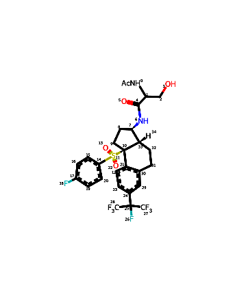 CC(=O)NC(CO)C(=O)N[C@@H]1CC[C@@]2(S(=O)(=O)c3ccc(F)cc3)c3ccc(C(F)(C(F)(F)F)C(F)(F)F)cc3CC[C@@H]12